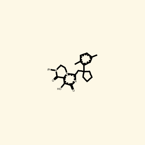 Cc1ccc(C)c(C2(Cc3nc(=O)c(O)c4n3CCN(C(C)C)C4=O)CCCC2)c1